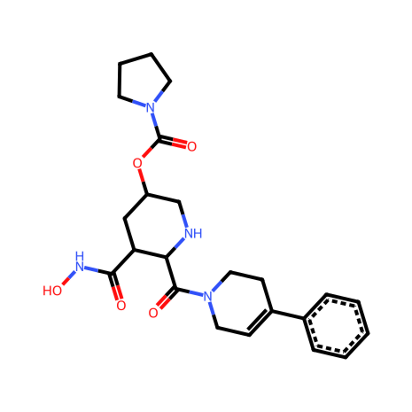 O=C(NO)C1CC(OC(=O)N2CCCC2)CNC1C(=O)N1CC=C(c2ccccc2)CC1